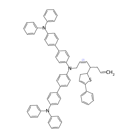 C=CCC(/C=C\CN(c1ccc(-c2ccc(N(c3ccccc3)c3ccccc3)cc2)cc1)c1ccc(-c2ccc(N(c3ccccc3)c3ccccc3)cc2)cc1)C1CC=C(c2ccccc2)S1